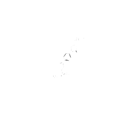 CCN(CCN(OC)C(C)=O)c1ccc(N2C[C@H](CNC(C)=O)OC2=O)cc1F